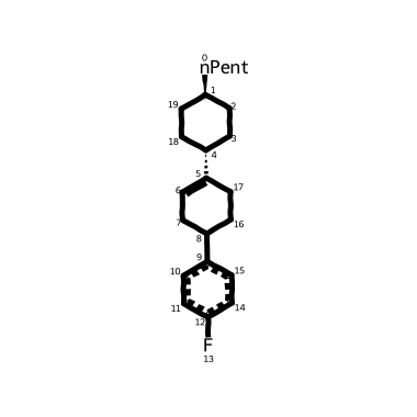 CCCCC[C@H]1CC[C@H](C2=CCC(c3ccc(F)cc3)CC2)CC1